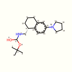 CC(C)(C)OC(O)NC[C@@H]1CCCc2cc(N3CCCC3)ccc21